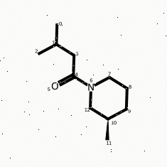 CC(C)CC(=O)N1CCC[C@@H](C)C1